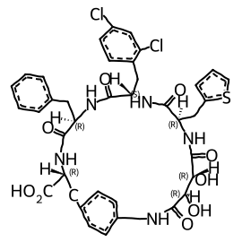 O=C1N[C@H](Cc2ccccc2)C(=O)N[C@@H](C(=O)O)Cc2ccc(cc2)NC(=O)[C@H](O)[C@@H](O)C(=O)N[C@H](Cc2cccs2)C(=O)N[C@H]1Cc1ccc(Cl)cc1Cl